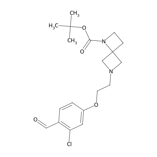 CC(C)(C)OC(=O)N1CCC12CN(CCOc1ccc(C=O)c(Cl)c1)C2